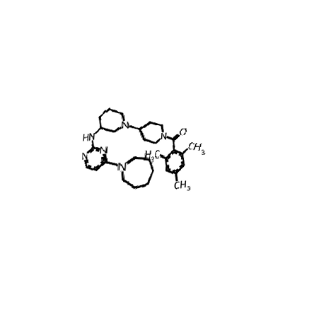 Cc1cc(C)c(C(=O)N2CCC(N3CCCC(Nc4nccc(N5CCCCCC5)n4)C3)CC2)c(C)c1